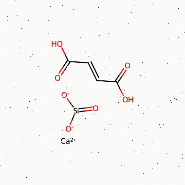 O=C(O)/C=C/C(=O)O.O=[Si]([O-])[O-].[Ca+2]